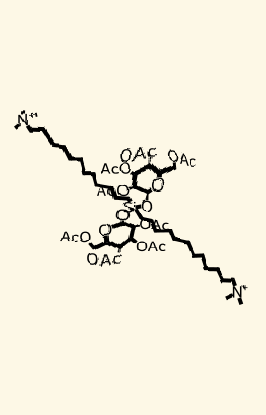 CC(=O)OCC1O[C@@H](O[Si](CCCCCCCCCCCC[N+](C)(C)C)(CCCCCCCCCCCC[N+](C)(C)C)O[C@@H]2OC(COC(C)=O)[C@@H](OC(C)=O)C(OC(C)=O)[C@@H]2OC(C)=O)[C@@H](OC(C)=O)C(OC(C)=O)[C@@H]1OC(C)=O